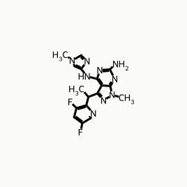 CC(c1ncc(F)cc1F)c1nn(C)c2nc(N)nc(Nc3cn(C)cn3)c12